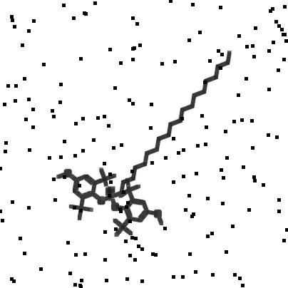 CCCCCCCCCCCCCCCCCCCC[PH](F)(Oc1c(C(C)(C)C)cc(OC)cc1C(C)(C)C)Oc1c(C(C)(C)C)cc(OC)cc1C(C)(C)C